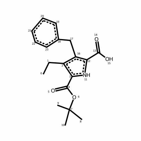 CCc1c(C(=O)OC(C)(C)C)[nH]c(C(=O)O)c1Cc1ccccc1